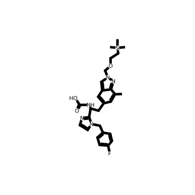 Cc1cc(CC(NC(=O)O)c2nccn2Cc2ccc(F)cc2)cc2cn(COCC[Si](C)(C)C)nc12